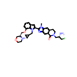 Cn1c(-c2cc3cccc(OC[C@@H]4COCCN4)c3n2CC2CC2)nc2cc3c(cc21)CCN(C[C@H](N)CF)C3=O